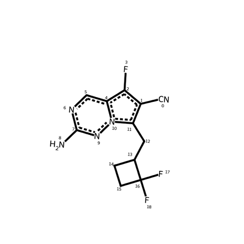 N#Cc1c(F)c2cnc(N)nn2c1CC1CCC1(F)F